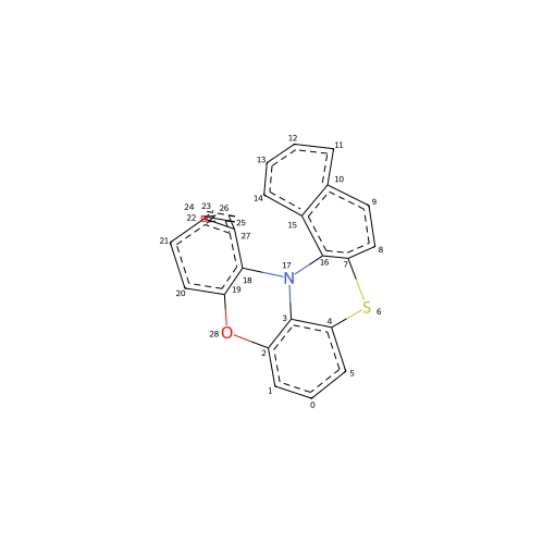 c1cc2c3c(c1)Sc1ccc4ccccc4c1N3c1c(ccc3ccccc13)O2